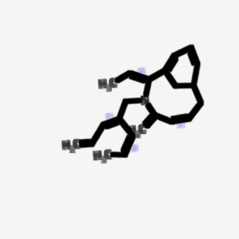 C=C/C=C(\C=C/C)CN1C(=C)/C=C\CC2C=CC=C(C2)/C1=C/C